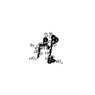 CC(NC(=O)CNC(=O)CCC(=O)O)C(=O)N[C@@H](Cc1ccccc1)C(=O)NCC(=O)N(CCCNCCN1C(=O)c2cccc3cc([N+](=O)[O-])cc(c23)C1=O)CCN1C(=O)c2cccc3cc([N+](=O)[O-])cc(c23)C1=O